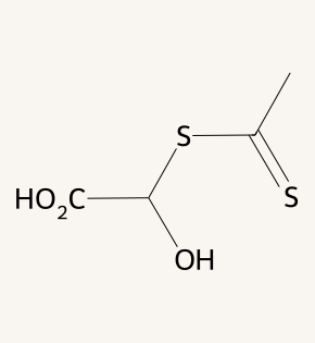 CC(=S)SC(O)C(=O)O